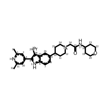 Cc1cc(-c2[nH]c3ccc(C4CCN(CC(=O)NC5CCOCC5)CC4)cc3c2C(C)C)cc(C)n1